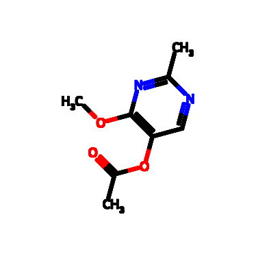 COc1nc(C)ncc1OC(C)=O